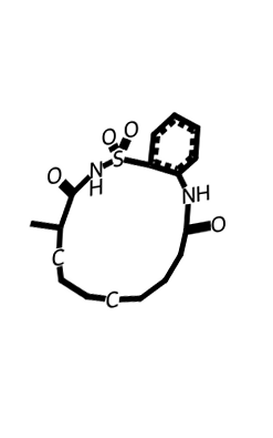 CC1CCCCCCCC(=O)Nc2ccccc2S(=O)(=O)NC1=O